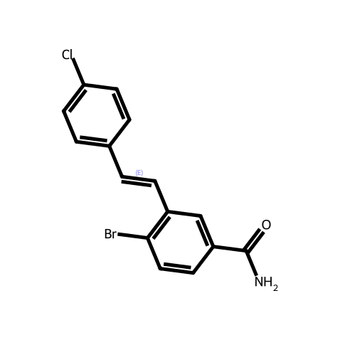 NC(=O)c1ccc(Br)c(/C=C/c2ccc(Cl)cc2)c1